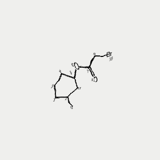 CC1CCCC(OC(=O)CBr)C1